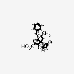 C=CCC1(C(=O)OCc2ccccc2)C(CC(=O)O)O[C@@H]2CC(=O)N21